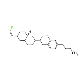 CCCCc1ccc2c(c1)CCC(C1CCC3C[C@H](C=C(F)F)CC[C@@H]3C1)C2